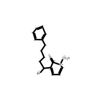 CC(C)C(CCCCc1ccccc1)c1cccn(C(=O)O)c1=O